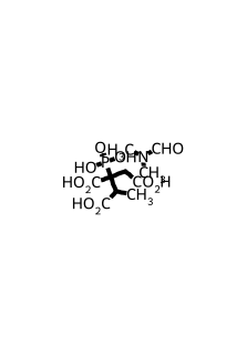 CC(C(=O)O)C(CC(=O)O)(C(=O)O)P(=O)(O)O.CN(C)C=O